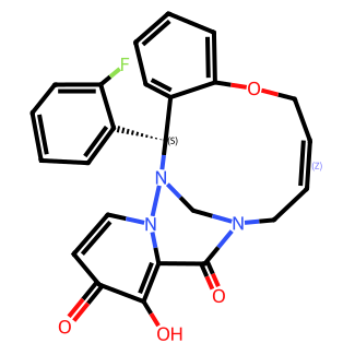 O=C1c2c(O)c(=O)ccn2N2CN1C/C=C\COc1ccccc1[C@H]2c1ccccc1F